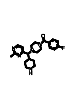 Cc1nccc(C(C2CCNCC2)N2CCN(C(=O)c3ccc(F)cc3)CC2)n1